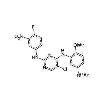 COc1ccc(NC(C)=O)cc1Nc1nc(Nc2ccc(F)c([N+](=O)[O-])c2)ncc1Cl